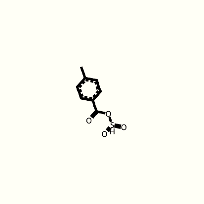 Cc1ccc(C(=O)O[SH](=O)=O)cc1